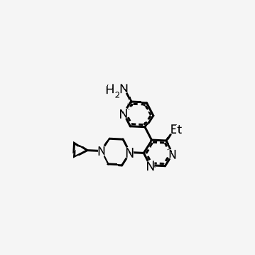 CCc1ncnc(N2CCN(C3CC3)CC2)c1-c1ccc(N)nc1